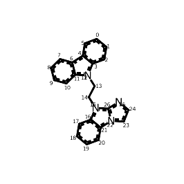 c1ccc2c(c1)c1ccccc1n2CCn1c2ccccc2n2ccnc12